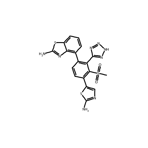 CS(=O)(=O)c1c(-c2cnc(N)s2)ccc(-c2cccc3sc(N)nc23)c1-c1nn[nH]n1